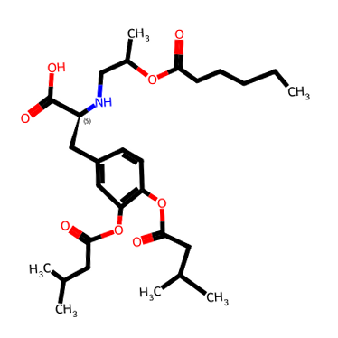 CCCCCC(=O)OC(C)CN[C@@H](Cc1ccc(OC(=O)CC(C)C)c(OC(=O)CC(C)C)c1)C(=O)O